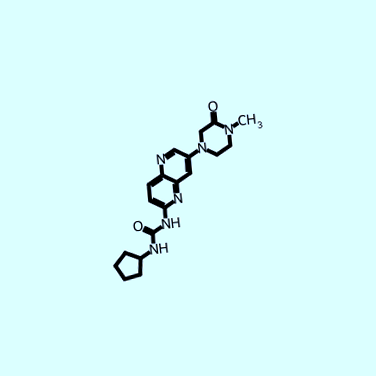 CN1CCN(c2cnc3ccc(NC(=O)NC4CCCC4)nc3c2)CC1=O